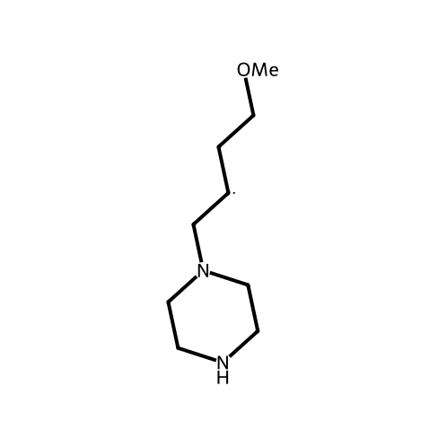 COCC[CH]CN1CCNCC1